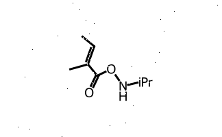 CC=C(C)C(=O)ONC(C)C